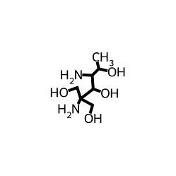 CC(O)C(N)C(O)C(N)(CO)CO